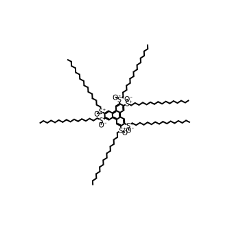 CCCCCCCCCCCCCCCC[S+]([O-])c1cc2c3cc([S+]([O-])CCCCCCCCCCCCCCCC)c([S+]([O-])CCCCCCCCCCCCCCCC)cc3c3cc([S+]([O-])CCCCCCCCCCCCCCCC)c([S+]([O-])CCCCCCCCCCCCCCCC)cc3c2cc1[S+]([O-])CCCCCCCCCCCCCCCC